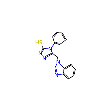 Sc1nnc(Cn2cnc3ccccc32)n1-c1ccccc1